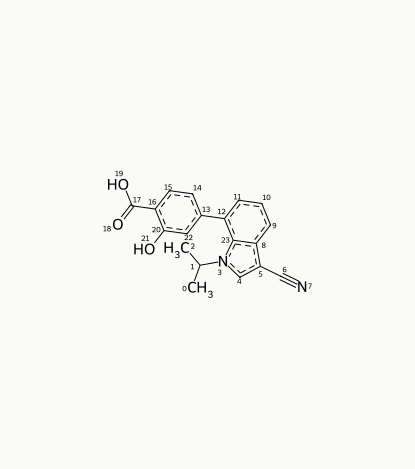 CC(C)n1cc(C#N)c2cccc(-c3ccc(C(=O)O)c(O)c3)c21